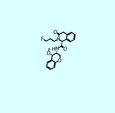 CO[C@@H]1c2ccccc2OC[C@H]1NC(=O)[C@@H]1c2ccccc2CC(=O)N1CCCF